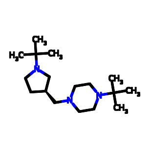 CC(C)(C)N1CCN(C[C@H]2CCN(C(C)(C)C)C2)CC1